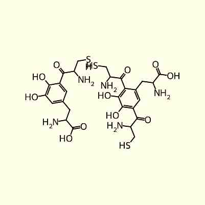 NC(Cc1cc(C(=O)C(N)CS)c(O)c(O)c1C(=O)C(N)CS)C(=O)O.NC(Cc1cc(O)c(O)c(C(=O)C(N)CS)c1)C(=O)O